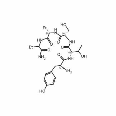 CCC(NC(=O)[C@H](CC)NC(=O)[C@H](CO)NC(=O)[C@@H](NC(=O)[C@@H](N)Cc1ccc(O)cc1)C(C)O)C(N)=O